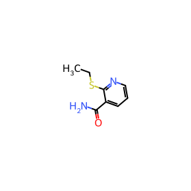 CCSc1ncccc1C(N)=O